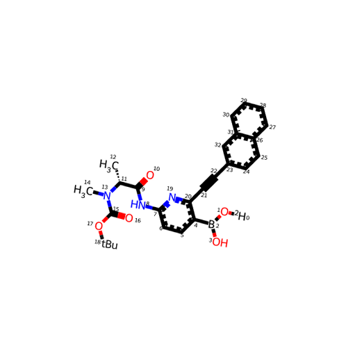 [2H]OB(O)c1ccc(NC(=O)[C@@H](C)N(C)C(=O)OC(C)(C)C)nc1C#Cc1ccc2ccccc2c1